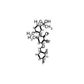 Cc1ccc(C(C)(C)O)cc1-n1c(C)cc(OCc2ccc(F)cc2F)c(Br)c1=O